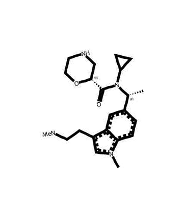 CNCCc1cn(C)c2ccc([C@@H](C)N(C(=O)[C@H]3CNCCO3)C3CC3)cc12